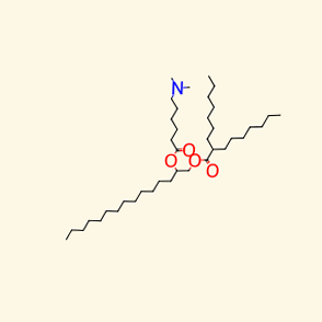 CCCCCCCCCCCCCC(COC(=O)C(CCCCCCC)CCCCCCC)OC(=O)CCCCCN(C)C